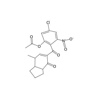 CC(=O)Oc1cc(Cl)cc([N+](=O)[O-])c1C(=O)C1=CC(C)C2CCCC2C1=O